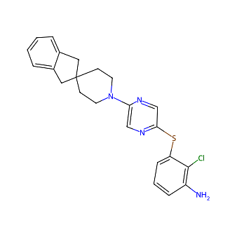 Nc1cccc(Sc2cnc(N3CCC4(CC3)Cc3ccccc3C4)cn2)c1Cl